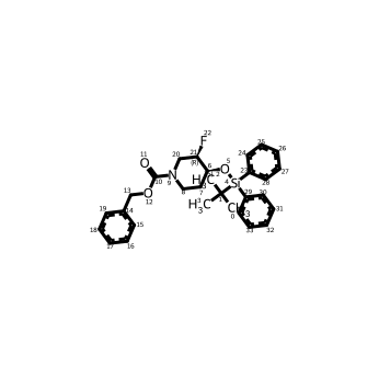 CC(C)(C)[Si](O[C@H]1CCN(C(=O)OCc2ccccc2)C[C@H]1F)(c1ccccc1)c1ccccc1